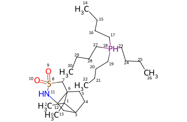 CC1(C)C2CCC13CS(=O)(=O)NC3C2.CCCC[PH](CCCC)(CCCC)CCCC